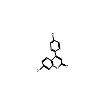 O=c1cc(-c2ccc(Cl)cc2)c2ccc(Br)cc2o1